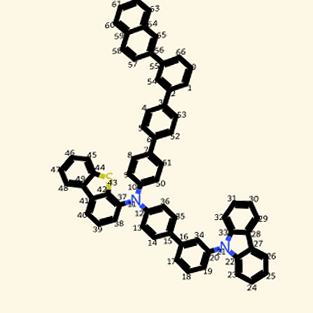 c1cc(-c2ccc(-c3ccc(N(c4ccc(-c5cccc(-n6c7ccccc7c7ccccc76)c5)cc4)c4cccc5c4sc4ccccc45)cc3)cc2)cc(-c2ccc3ccccc3c2)c1